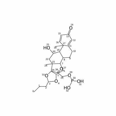 CCCC1OC2CC3C4CCC5=CC(=O)C=CC5(C)C4C(O)CC3(C)C2(C(=O)COP(O)O)O1